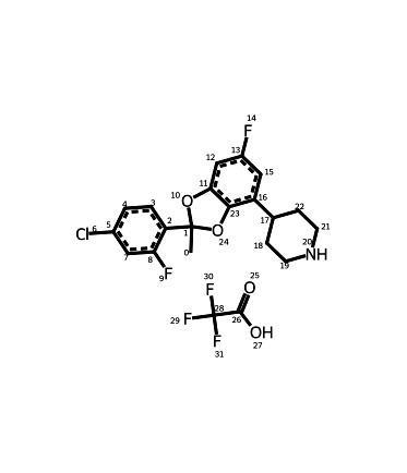 CC1(c2ccc(Cl)cc2F)Oc2cc(F)cc(C3CCNCC3)c2O1.O=C(O)C(F)(F)F